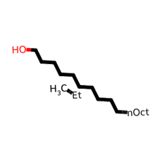 CCC.CCCCCCCCCCCCCCCCCCO